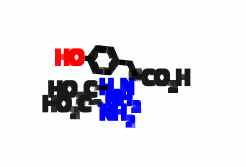 NCC(=O)O.NCC(=O)O.N[C@@H](Cc1ccc(O)cc1)C(=O)O